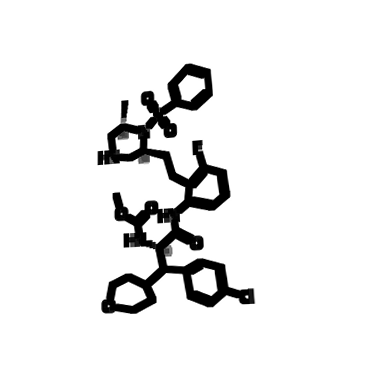 COC(=O)N[C@H](C(=O)Nc1cccc(F)c1CC[C@H]1CNC[C@H](C)N1S(=O)(=O)c1ccccc1)C(c1ccc(Cl)cc1)C1CCOCC1